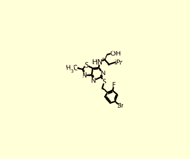 Cc1nc2nc(SCc3ccc(Br)cc3F)nc(N[C@@H](CO)CC(C)C)c2s1